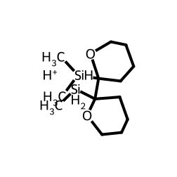 C[SiH2]C1(C2([SiH](C)C)CCCCO2)CCCCO1.[H+]